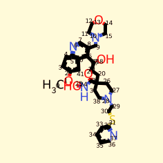 COc1ccc2ncc(CN3CCOCC3)c([C@H](O)CCC3(C(=O)NO)CCN(CCSc4ccccn4)CC3)c2c1